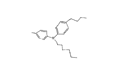 CCCCCCP(c1ccc(C)cc1)c1ccc(CCCC)cc1